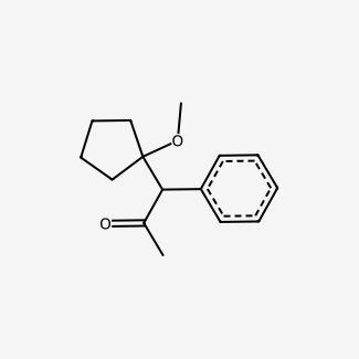 COC1(C(C(C)=O)c2ccccc2)CCCC1